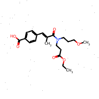 CCOC(=O)CCN(CCCOC)C(=O)/C(C)=C/c1ccc(C(=O)O)cc1